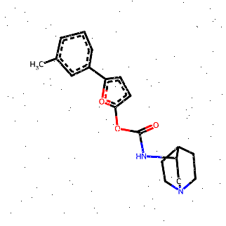 Cc1cccc(-c2ccc(OC(=O)NC3CN4CCC3CC4)o2)c1